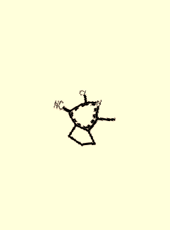 Cc1nc(Cl)c(C#N)c2c1CCC2